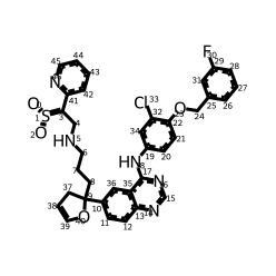 O=S(=O)=C(CNCCCC1(c2ccc3ncnc(Nc4ccc(OCc5cccc(F)c5)c(Cl)c4)c3c2)CC=CO1)c1ccccn1